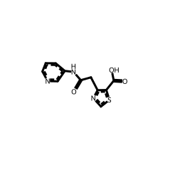 O=C(Cc1ncsc1C(=O)O)Nc1cccnc1